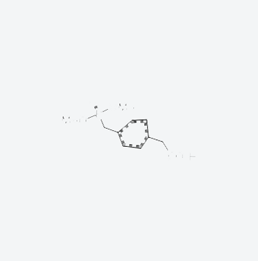 COP(=O)(Cc1ccc(CC(=O)O)cc1)OC